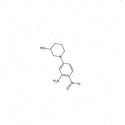 Nc1cc(N2CCCC(O)C2)ccc1[N+](=O)[O-]